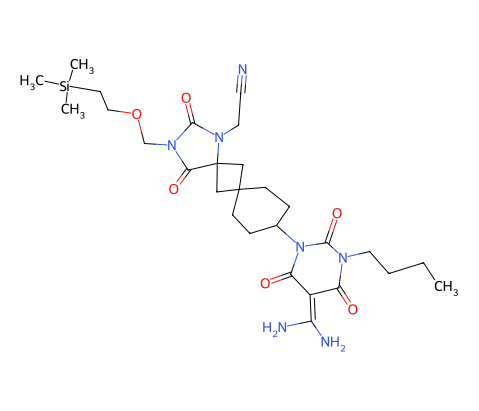 CCCCN1C(=O)C(=C(N)N)C(=O)N(C2CCC3(CC2)CC2(C3)C(=O)N(COCC[Si](C)(C)C)C(=O)N2CC#N)C1=O